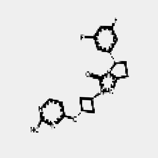 N#Cc1nccc(O[C@H]2C[C@H](n3nc4n(c3=O)[C@H](c3cc(F)cc(F)c3)CC4)C2)n1